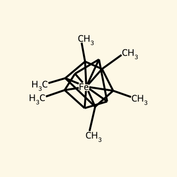 C[C]12[CH]3[CH]4[CH]5[CH]1[Fe]45321678[C]2(C)[C]1(C)[C]6(C)[C]7(C)[C]28C